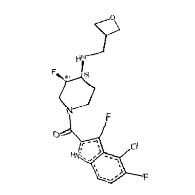 O=C(c1[nH]c2ccc(F)c(Cl)c2c1F)N1CC[C@H](NCC2COC2)[C@H](F)C1